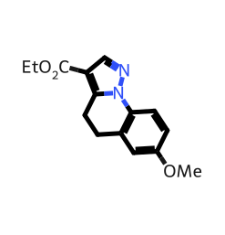 CCOC(=O)c1cnn2c1CCc1cc(OC)ccc1-2